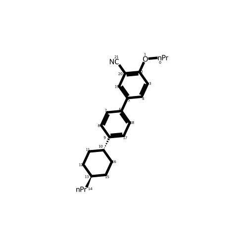 CCCOc1ccc(-c2ccc([C@H]3CC[C@H](CCC)CC3)cc2)cc1C#N